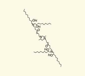 CCCCCCCCC(O)CN(CCCC(=O)SCCN1CC(C)N(CCSC(=O)CCCN(CC(O)CCCCCCCC)CC(O)CCCCCCCC)CC1C)CC(O)CCCCCCCC